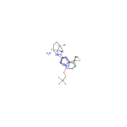 Cc1ccc(OCC(F)(F)F)n2nc(N[C@H]3[C@H]4CC[C@]3(N)CN(c3ccnc(C(F)(F)F)c3)C4)nc12